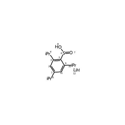 CC(C)c1cc(C(C)C)c(S(=O)O)c(C(C)C)c1.[LiH]